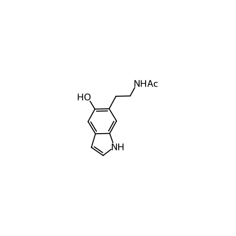 CC(=O)NCCc1cc2[nH]ccc2cc1O